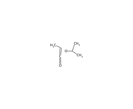 CC(C)[O].CC=C=O